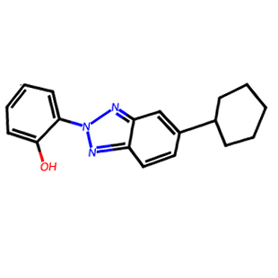 Oc1cc[c]cc1-n1nc2ccc(C3CCCCC3)cc2n1